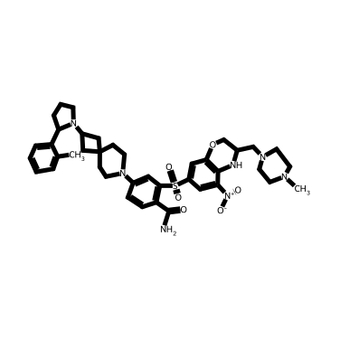 Cc1ccccc1C1CCCN1C1CC2(CCN(c3ccc(C(N)=O)c(S(=O)(=O)c4cc5c(c([N+](=O)[O-])c4)NC(CN4CCN(C)CC4)CO5)c3)CC2)C1